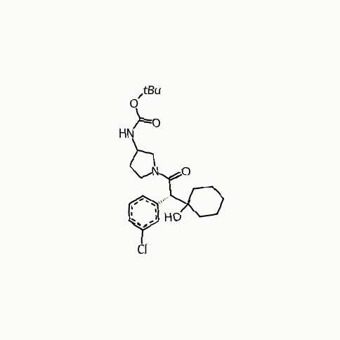 CC(C)(C)OC(=O)NC1CCN(C(=O)[C@@H](c2cccc(Cl)c2)C2(O)CCCCC2)C1